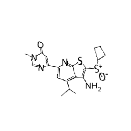 CC(C)c1cc(-c2cc(=O)n(C)cn2)nc2sc([S+]([O-])C3CCC3)c(N)c12